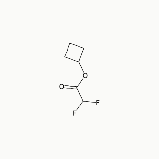 O=C(OC1CCC1)C(F)F